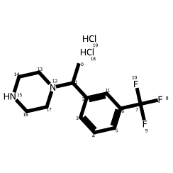 CC(c1cccc(C(F)(F)F)c1)N1CCNCC1.Cl.Cl